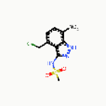 CS(=O)(=O)Nc1n[nH]c2c([N+](=O)[O-])ccc(CCl)c12